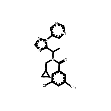 CC(c1ncnn1-c1cncnc1)N(CC1CC1)C(=O)c1cc(Cl)cc(C(F)(F)F)c1